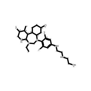 CCN1CN(c2c(F)cc(NCCNCCO)cc2F)C2CC(Cl)CCC2C2C(C)C(F)CNC21